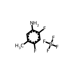 Cc1cc(N)c(F)cc1F.F[B-](F)(F)F